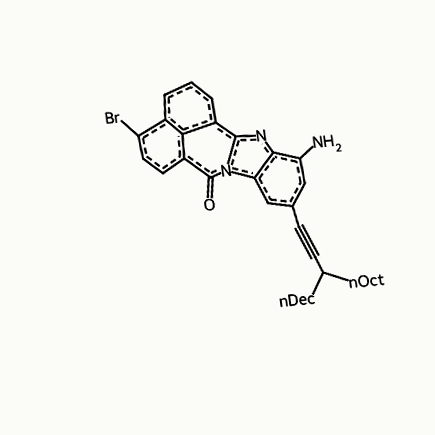 CCCCCCCCCCC(C#Cc1cc(N)c2nc3c4cccc5c(Br)ccc(c(=O)n3c2c1)c54)CCCCCCCC